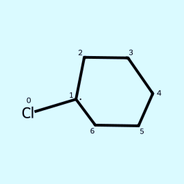 Cl[C]1CCCCC1